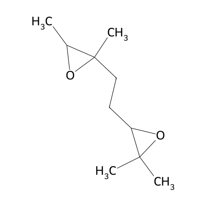 CC1OC1(C)CCC1OC1(C)C